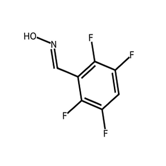 ON=Cc1c(F)c(F)cc(F)c1F